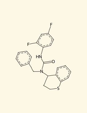 O=C(Nc1ccc(F)cc1F)N(Cc1ccccc1)C1CCSc2ccccc21